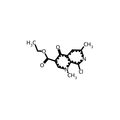 CCOC(=O)c1cn(C)c2c(Cl)nc(C)cc2c1=O